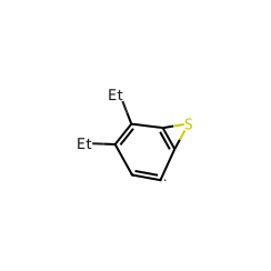 CCc1c[c]c2c(c1CC)S2